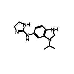 CC(C)N1CNc2ccc(NC3=NCCN3)cc21